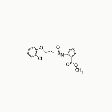 COC(=O)c1cscc1NC(=O)CCCOc1ccccc1Cl